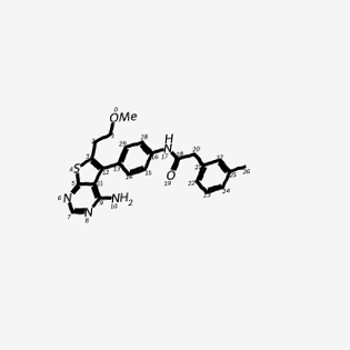 COCCc1sc2ncnc(N)c2c1-c1ccc(NC(=O)Cc2cccc(C)c2)cc1